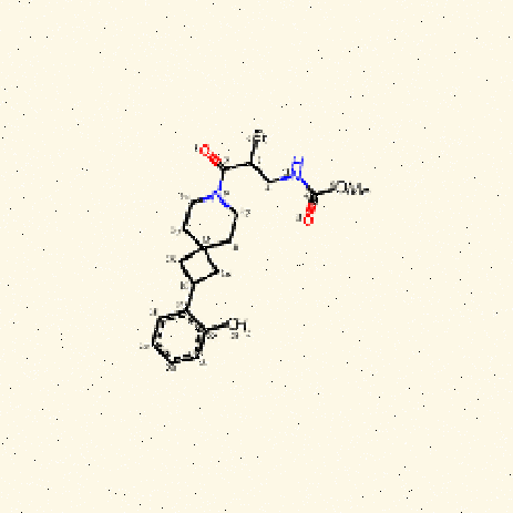 CCC(CNC(=O)OC)C(=O)N1CCC2(CC1)CC(c1ccccc1C)C2